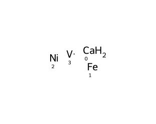 [CaH2].[Fe].[Ni].[V]